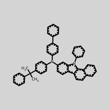 CC(C)(c1ccccc1)c1ccc(N(c2ccc(-c3ccccc3)cc2)c2ccc3c4ccc5ccccc5c4n(-c4ccccc4)c3c2)cc1